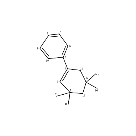 CC1(C)C=C(c2ccccc2)CC(C)(C)C1